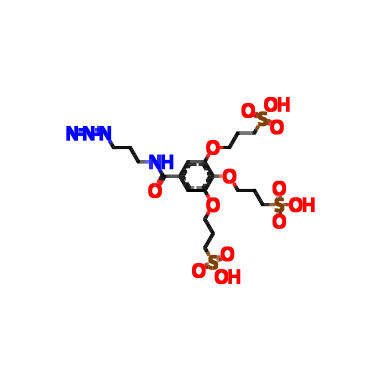 [N-]=[N+]=NCCCNC(=O)c1cc(OCCCS(=O)(=O)O)c(OCCCS(=O)(=O)O)c(OCCCS(=O)(=O)O)c1